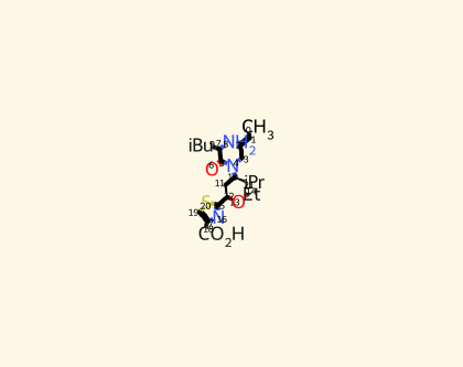 C/C=C/CN(C(=O)C(N)C(C)CC)[C@H](C[C@@H](OCC)c1nc(C(=O)O)cs1)C(C)C